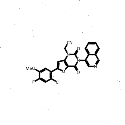 COc1cc(-c2cc3c(o2)c(=O)n(-c2cncc4ccccc24)c(=O)n3CC#N)c(Cl)cc1F